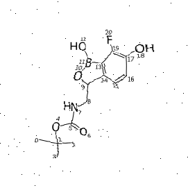 CC(C)(C)OC(=O)NCC1OB(O)c2c1ccc(O)c2F